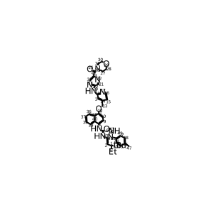 CCC(/C=C(/NC(=O)Nc1ccc(OCc2ccnc(Nc3cnc(C(=O)N4CCOCC4)cn3)c2)c2ccccc12)N(N)c1ccc(C)cc1)C(C)(C)C